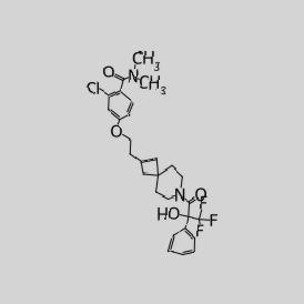 CN(C)C(=O)c1ccc(OCCC2CC3(CCN(C(=O)C(O)(c4ccccc4)C(F)(F)F)CC3)C2)cc1Cl